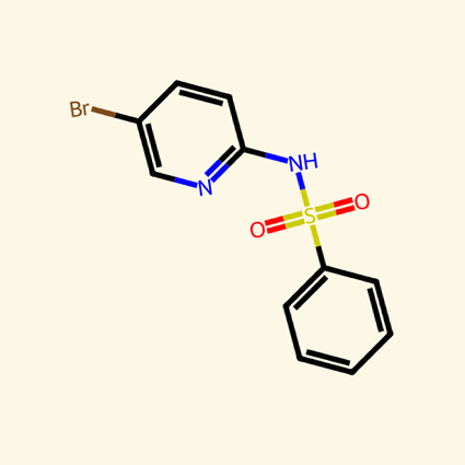 O=S(=O)(Nc1ccc(Br)cn1)c1ccccc1